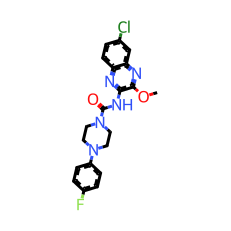 COc1nc2cc(Cl)ccc2nc1NC(=O)N1CCN(c2ccc(F)cc2)CC1